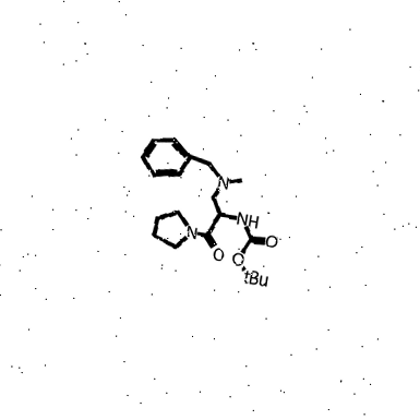 CN(Cc1ccccc1)CC(NC(=O)OC(C)(C)C)C(=O)N1CCCC1